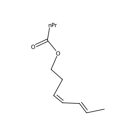 C/C=C/C=C\CCOC(=O)CCC